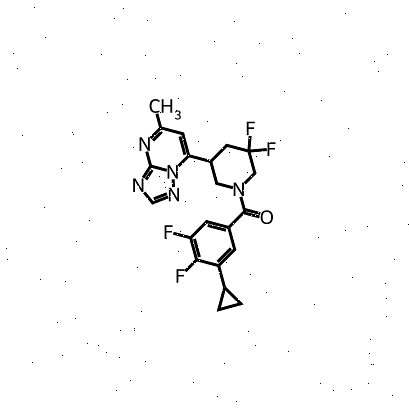 Cc1cc(C2CN(C(=O)c3cc(F)c(F)c(C4CC4)c3)CC(F)(F)C2)n2ncnc2n1